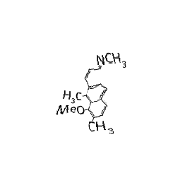 C/N=C/C=C\c1ccc2ccc(C)c(OC)c2c1C